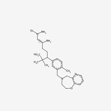 CCN(N)/C=C(\N)CCC(c1ccc(C)c(CN2CCOc3cccnc3C2)c1)C(C)(C)C(=O)O